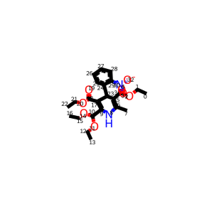 CCOC(=O)C1=C(C)NC(C(OCC)OCC)=C(C(=O)OCC)C1c1ccccc1[N+](=O)[O-]